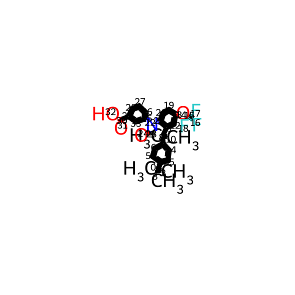 CC(C)(C)c1ccc(C(C)(C)c2cc(OC(F)(F)F)ccc2N(C=O)c2cccc(C(=O)O)c2)cc1